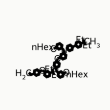 C=Cc1ccc(Oc2cccc(C(CC)(CC)N(c3ccc(Oc4cccc(N(c5ccc(-c6ccc(C(C)(CC)CC)cc6)cc5)c5cccc(OCCCCCC)c5)c4)cc3)c3cccc(OCCCCCC)c3)c2)cc1